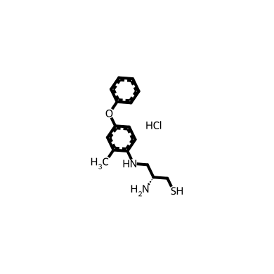 Cc1cc(Oc2ccccc2)ccc1NC[C@@H](N)CS.Cl